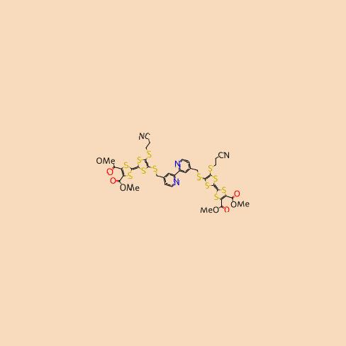 COC(=O)C1=C(C(=O)OC)SC(=C2SC(SCCC#N)=C(SCc3ccnc(-c4cc(CSC5=C(SCCC#N)SC(=C6SC(C(=O)OC)=C(C(=O)OC)S6)S5)ccn4)c3)S2)S1